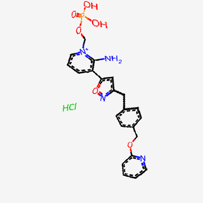 Cl.Nc1c(-c2cc(Cc3ccc(COc4ccccn4)cc3)no2)ccc[n+]1COP(=O)(O)O